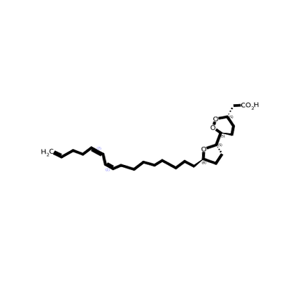 C=CCC/C=C\C=C/CCCCCCCC[C@@H]1CC[C@@H]([C@@H]2CC[C@@H](CC(=O)O)OO2)O1